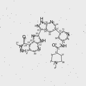 CN1CCC(C(=O)Nc2cncc(-c3cnc4[nH]nc(-c5nc6c(C(=O)N(C)N)ccnc6[nH]5)c4c3)c2)CC1